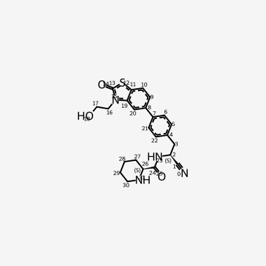 N#C[C@H](Cc1ccc(-c2ccc3sc(=O)n(CCO)c3c2)cc1)NC(=O)[C@@H]1CCCCN1